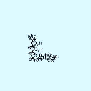 F[As-](F)(F)(F)(F)F.O=C(O)C(=O)F.O=C(O)C(=O)F.O=C(O)C(=O)F.O=C(O)C(=O)F.O=P([O-])([O-])O.[H+].[Li+].[Li+]